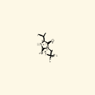 CC(C)C1NC(=O)N(CC(F)(F)F)C1=O